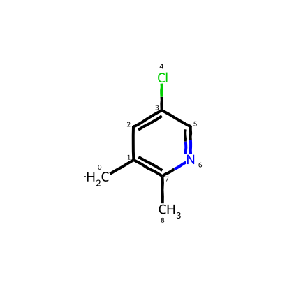 [CH2]c1cc(Cl)cnc1C